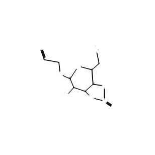 C=CCOC1OC(CO)C2OS(=O)OC2C1O